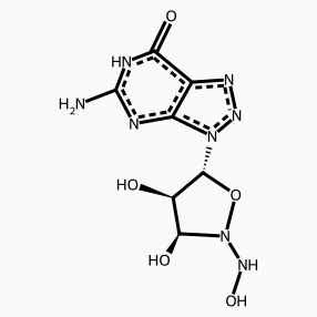 Nc1nc2c(nnn2[C@@H]2ON(NO)[C@@H](O)[C@H]2O)c(=O)[nH]1